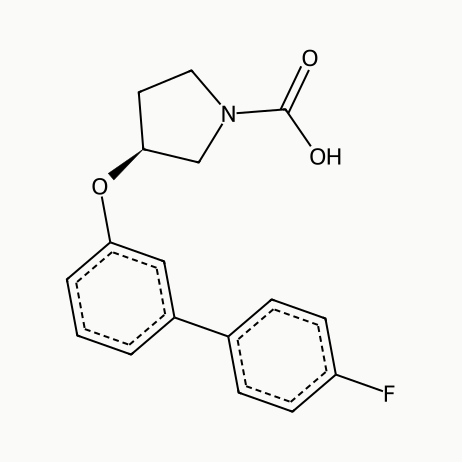 O=C(O)N1CC[C@H](Oc2cccc(-c3ccc(F)cc3)c2)C1